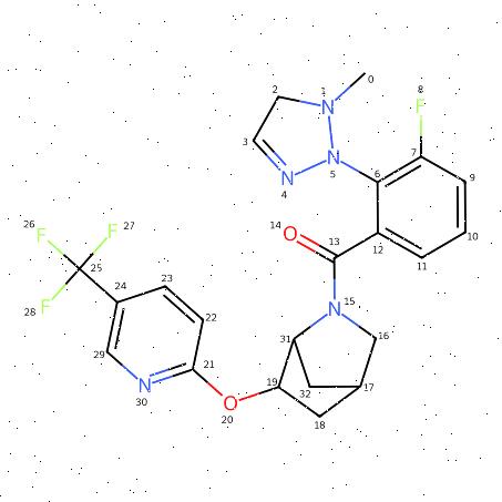 CN1CC=NN1c1c(F)cccc1C(=O)N1CC2CC(Oc3ccc(C(F)(F)F)cn3)C1C2